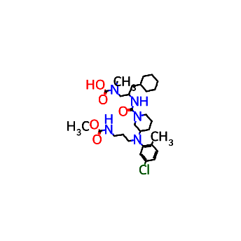 COC(=O)NCCCN(c1cc(Cl)ccc1C)C1CCCN(C(=O)NC(CC2CCCCC2)CN(C)C(=O)O)C1